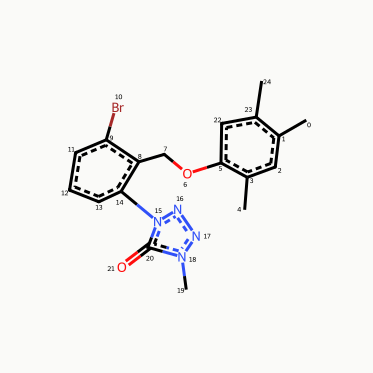 Cc1cc(C)c(OCc2c(Br)cccc2-n2nnn(C)c2=O)cc1C